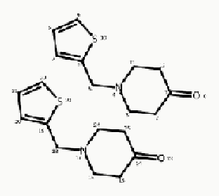 O=C1CCN(Cc2cccs2)CC1.O=C1CCN(Cc2cccs2)CC1